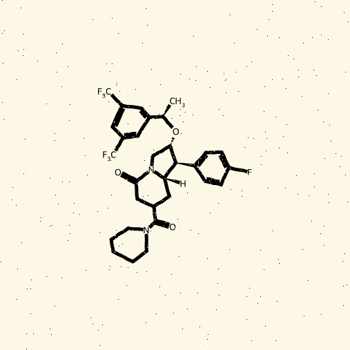 C[C@@H](O[C@H]1CN2C(=O)CC(C(=O)N3CCCCC3)C[C@H]2[C@@H]1c1ccc(F)cc1)c1cc(C(F)(F)F)cc(C(F)(F)F)c1